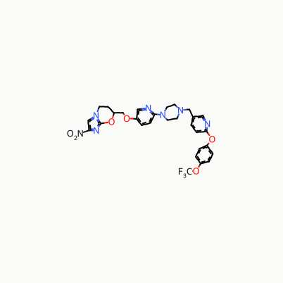 O=[N+]([O-])c1cn2c(n1)OC(COc1ccc(N3CCN(Cc4ccc(Oc5ccc(OC(F)(F)F)cc5)nc4)CC3)nc1)CC2